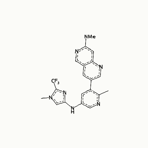 CNc1cc2ncc(-c3cc(Nc4cn(C)c(C(F)(F)F)n4)cnc3C)cc2cn1